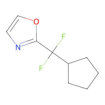 FC(F)(c1ncco1)C1CCCC1